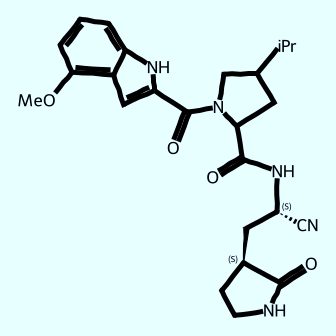 COc1cccc2[nH]c(C(=O)N3CC(C(C)C)CC3C(=O)N[C@H](C#N)C[C@@H]3CCNC3=O)cc12